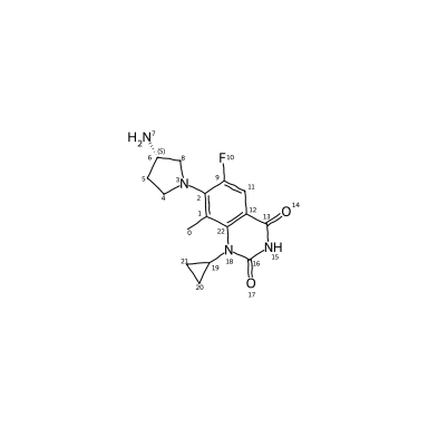 Cc1c(N2CC[C@H](N)C2)c(F)cc2c(=O)[nH]c(=O)n(C3CC3)c12